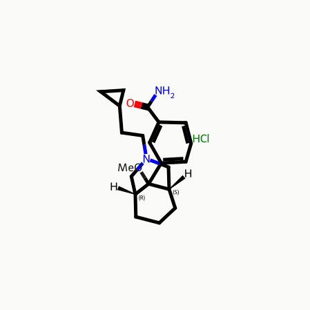 COC1(c2cccc(C(N)=O)c2)[C@@H]2CCC[C@H]1CN(CCC1CC1)C2.Cl